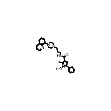 CCCn1c(-c2ccccc2)cc(C(=O)NCCCN2CCN(c3cccc4cccnc34)CC2)c1C